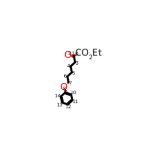 CCOC(=O)C(=O)CCCCCOc1ccccc1